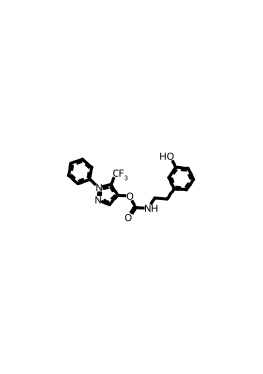 O=C(NCCc1cccc(O)c1)Oc1cnn(-c2ccccc2)c1C(F)(F)F